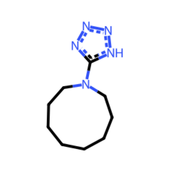 C1CCCCN(c2nnn[nH]2)CCC1